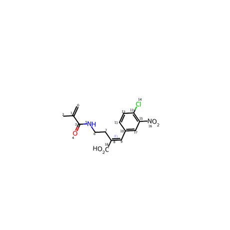 C=C(C)C(=O)NCC/C(=C\c1ccc(Cl)c([N+](=O)[O-])c1)C(=O)O